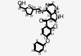 O=C(c1ccc(Oc2ccccc2)cc1Cl)c1c[nH]c2ncnc(NCC3CCC(CO)S3)c12